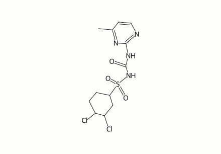 Cc1ccnc(NC(=O)NS(=O)(=O)C2CCC(Cl)C(Cl)C2)n1